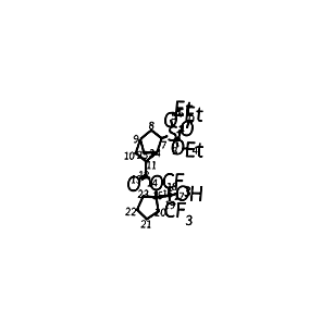 CCO[Si](OCC)(OCC)C1CC2CC(C(=O)OC3(C(O)(C(F)(F)F)C(F)(F)F)CCCC3)C1C2